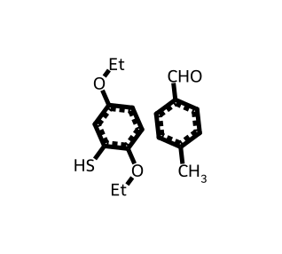 CCOc1ccc(OCC)c(S)c1.Cc1ccc(C=O)cc1